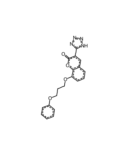 O=c1oc2c(OCCCOc3ccccc3)cccc2cc1-c1nnn[nH]1